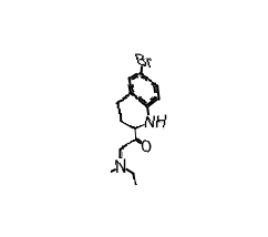 CCN(C)CC(=O)C1CCc2cc(Br)ccc2N1